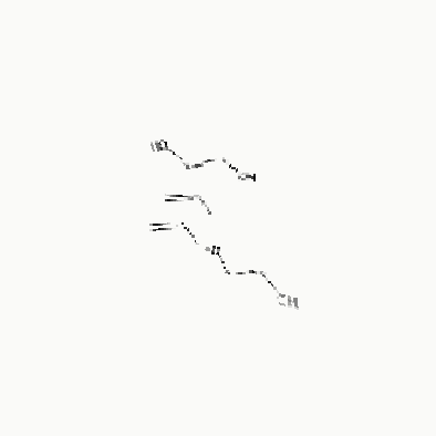 C=CC.C=CC.OCCO.OCCO